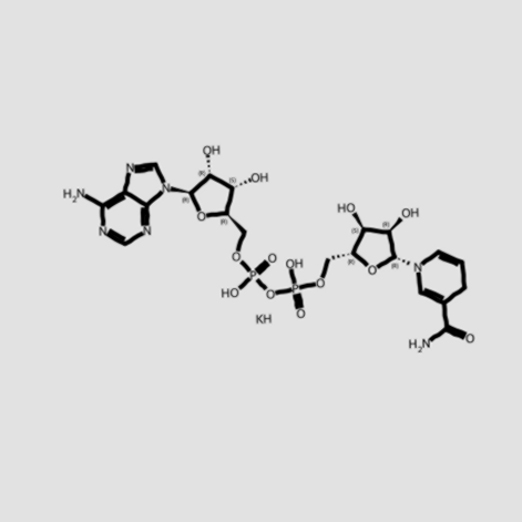 NC(=O)C1=CN([C@@H]2O[C@H](COP(=O)(O)OP(=O)(O)OC[C@H]3O[C@@H](n4cnc5c(N)ncnc54)[C@H](O)[C@@H]3O)[C@@H](O)[C@H]2O)C=CC1.[KH]